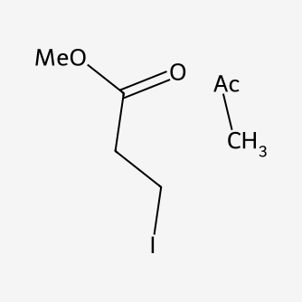 CC(C)=O.COC(=O)CCI